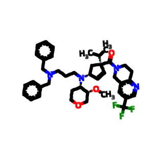 CO[C@@H]1COCC[C@@H]1N(CCCN(Cc1ccccc1)Cc1ccccc1)[C@H]1C=C[C@@](C(=O)N2CCc3ncc(C(F)(F)F)cc3C2)(C(C)C)C1